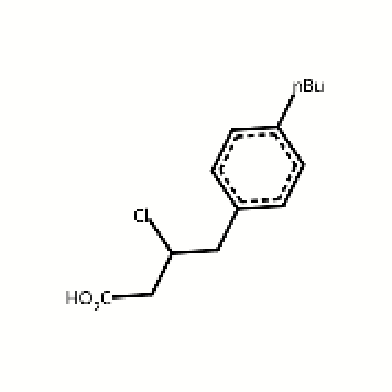 CCCCc1ccc(CC(Cl)CC(=O)O)cc1